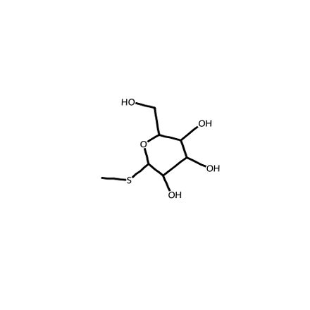 CSC1OC(CO)C(O)C(O)C1O